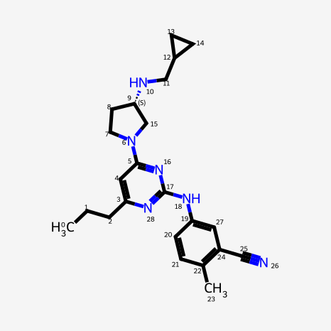 CCCc1cc(N2CC[C@H](NCC3CC3)C2)nc(Nc2ccc(C)c(C#N)c2)n1